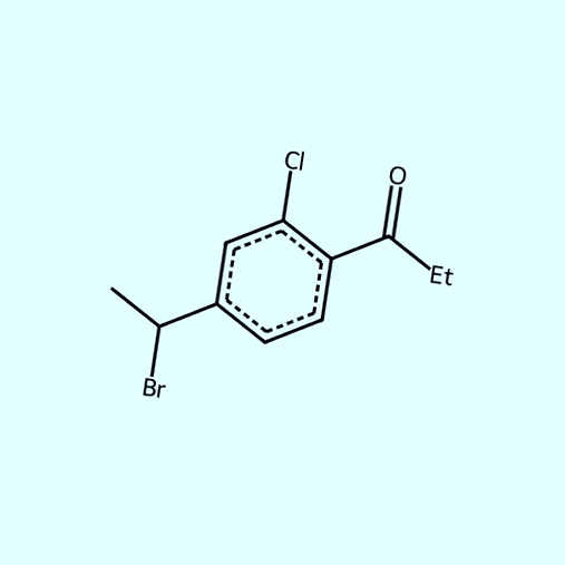 CCC(=O)c1ccc(C(C)Br)cc1Cl